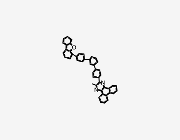 Cc1nc2c3ccccc3c3ccccc3c2nc1-c1ccc(-c2cccc(-c3ccc(-c4cccc5c4oc4ccccc45)cc3)c2)cc1